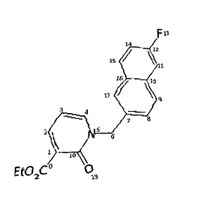 CCOC(=O)c1cccn(Cc2ccc3cc(F)ccc3c2)c1=O